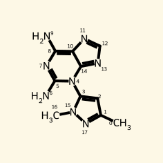 Cc1cc(-n2c(N)nc(N)c3ncnc2-3)n(C)n1